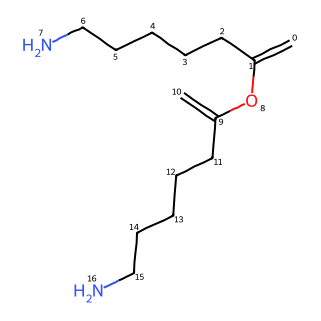 C=C(CCCCCN)OC(=C)CCCCCN